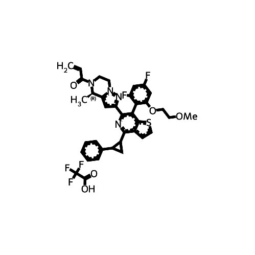 C=CC(=O)N1CCn2nc(-c3nc(C4CC4c4ccccc4)c4ccsc4c3-c3c(F)cc(F)cc3OCCOC)cc2[C@H]1C.O=C(O)C(F)(F)F